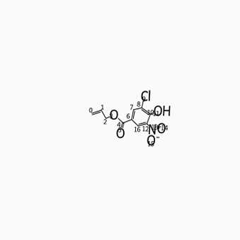 C=CCOC(=O)c1cc(Cl)c(O)c([N+](=O)[O-])c1